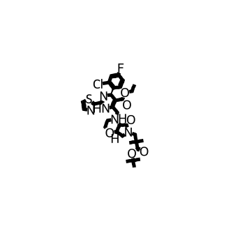 CCOC(=O)C1=C(CN2CCO[C@H]3CN(CC(C)(C)C(=O)OC(C)(C)C)C(=O)[C@H]32)NC(c2nccs2)=N[C@H]1c1ccc(F)cc1Cl